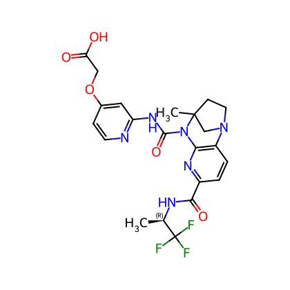 C[C@@H](NC(=O)c1ccc2c(n1)N(C(=O)Nc1cc(OCC(=O)O)ccn1)C1(C)CCN2C1)C(F)(F)F